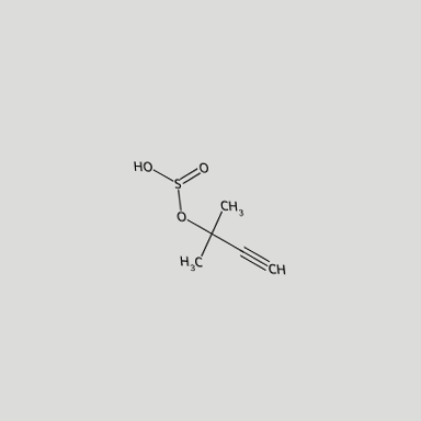 C#CC(C)(C)OS(=O)O